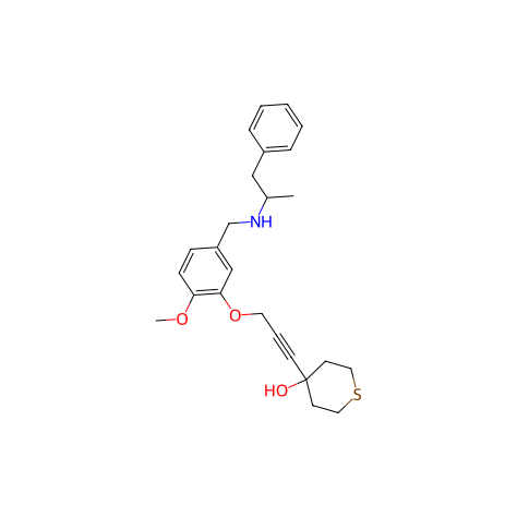 COc1ccc(CNC(C)Cc2ccccc2)cc1OCC#CC1(O)CCSCC1